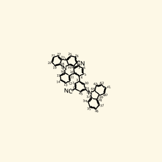 N#Cc1cc(-c2ccc(C#N)cc2-c2ccccc2-n2c3ccccc3c3ccccc32)cc(N2c3ccccc3C3C=CC=CC32)c1